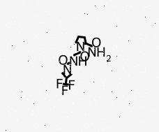 NC(=O)C1CCCN1C(=O)CNC(=O)N1CC(C(F)(F)F)C1